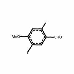 COc1cc(F)c(C=O)cc1I